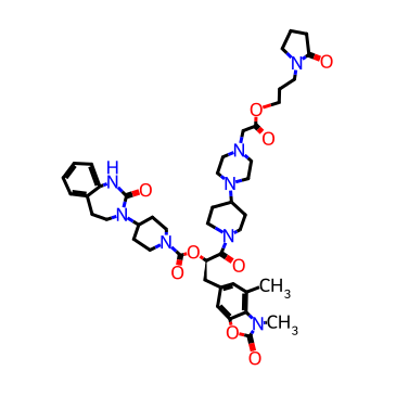 Cc1cc(C[C@@H](OC(=O)N2CCC(N3CCc4ccccc4NC3=O)CC2)C(=O)N2CCC(N3CCN(CC(=O)OCCCN4CCCC4=O)CC3)CC2)cc2oc(=O)n(C)c12